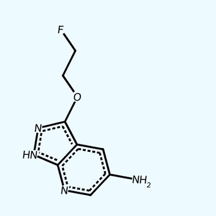 Nc1cnc2[nH]nc(OCCF)c2c1